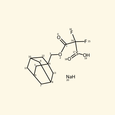 O=C(OCC12CC3CC(CC(C3)C1)C2)C(F)(F)S(=O)O.[NaH]